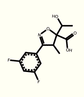 CC(O)C1(C(=O)O)ON=C(c2cc(F)cc(F)c2)C1C